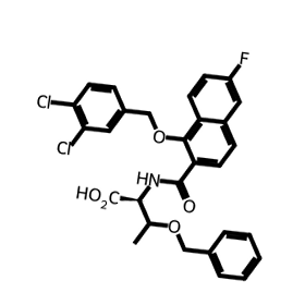 CC(OCc1ccccc1)[C@H](NC(=O)c1ccc2cc(F)ccc2c1OCc1ccc(Cl)c(Cl)c1)C(=O)O